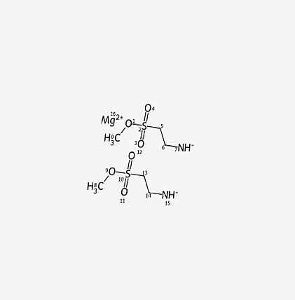 COS(=O)(=O)CC[NH-].COS(=O)(=O)CC[NH-].[Mg+2]